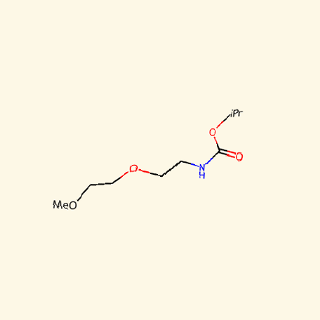 COCCOCCNC(=O)OC(C)C